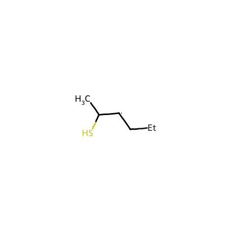 CCC[CH]C(C)S